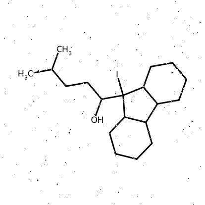 CC(C)CCC(O)C1(I)C2CCCCC2C2CCCCC21